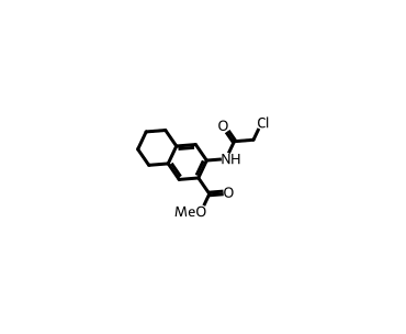 COC(=O)c1cc2c(cc1NC(=O)CCl)CCCC2